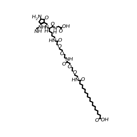 N=CNC1=C(CNC(CCCCNC(=O)COCCOCCNC(=O)COCCOCCNC(=O)CCCCCCCCCCCCCCCCC(=O)O)C(=O)NCC(=O)O)C(=O)C(N)C1